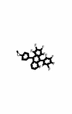 COc1ccc(-c2c3cccc(F)c3c(-c3c(F)c(F)c(F)c(F)c3F)c3c(F)c(F)c(F)c(F)c23)cc1